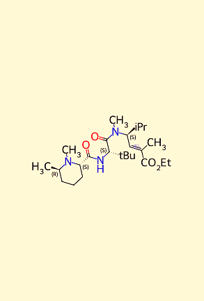 CCOC(=O)/C(C)=C/[C@H](C(C)C)N(C)C(=O)[C@@H](NC(=O)[C@@H]1CCC[C@@H](C)N1C)C(C)(C)C